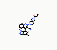 C=CC(=O)N1CC2(CCN(c3nc4ccccc4c(-c4c(C)c(C)cc5cnn(C)c45)c3C#N)C2)C1